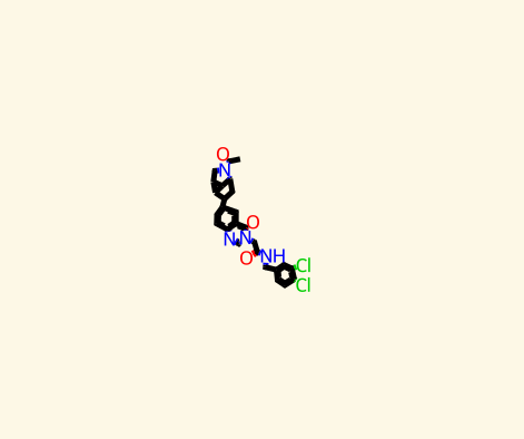 CC(=O)N1CC2C3C(c4ccc5ncn(CC(=O)NCc6ccc(Cl)c(Cl)c6)c(=O)c5c4)CC1C23